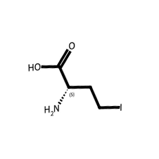 N[C@@H](CCI)C(=O)O